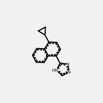 c1ccc2c(C3CC3)ccc(-c3nnc[nH]3)c2c1